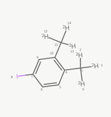 [2H]C([2H])([2H])c1ccc(I)cc1C([2H])([2H])[2H]